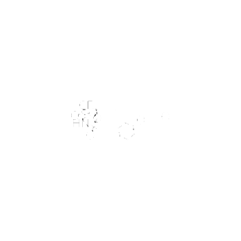 O=S(=O)(CC1CCCc2c(OCC3CO3)cccc21)NS(=O)(=O)C(F)(F)F